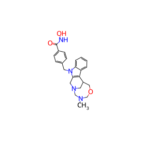 CN1COCC2CN(Cc3c2c2ccccc2n3Cc2ccc(C(=O)NO)cc2)C1